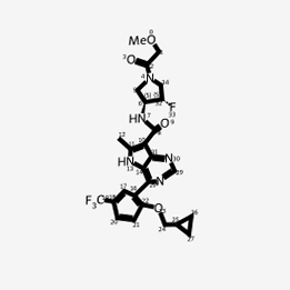 COCC(=O)N1C[C@H](NC(=O)c2c(C)[nH]c3c(-c4cc(C(F)(F)F)ccc4OCC4CC4)ncnc23)[C@@H](F)C1